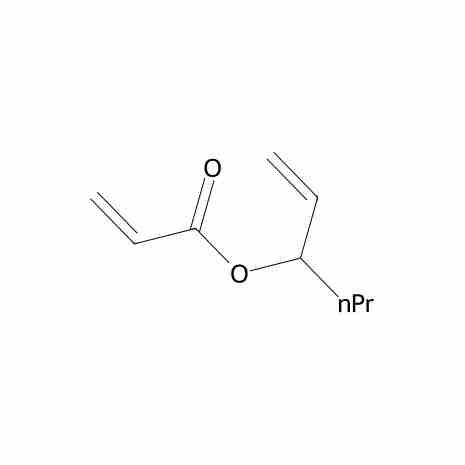 C=CC(=O)OC(C=C)CCC